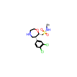 CC(C)NS(=O)(=O)C[C@H]1OCCNC[C@H]1c1ccc(Cl)c(Cl)c1